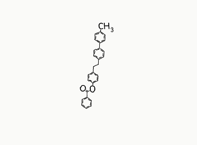 Cc1ccc(-c2ccc(CCc3ccc(OC(=O)c4ccccc4)cc3)cc2)cc1